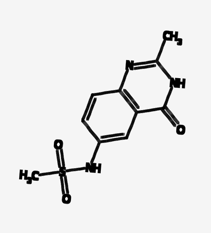 Cc1nc2ccc(NS(C)(=O)=O)cc2c(=O)[nH]1